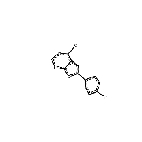 Fc1ccc(-c2cc3c(Cl)ncnc3o2)cc1